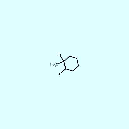 O=C(O)C1(O)CCCCC1F